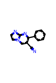 N#Cc1cn2ccnc2nc1-c1ccccc1